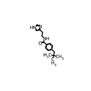 CC(C)(C)Cc1ccc(C(=O)NCCc2c[nH]cn2)cc1